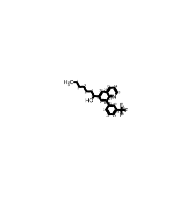 CCCCCCC(O)c1cc(-c2cccc(C(F)(F)F)c2)c2ncccc2c1